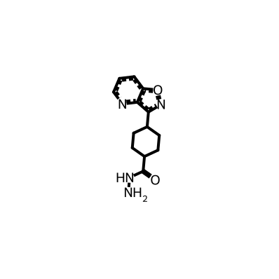 NNC(=O)C1CCC(c2noc3cccnc23)CC1